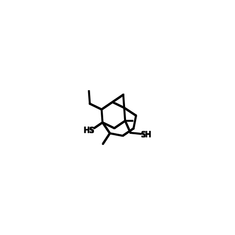 CCC1C2CC23CCCC(C)C1(S)CC3(C)CS